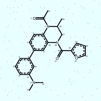 CC(=O)N1c2ccc(-c3cccc(N(C)C)c3)cc2N(C(=O)c2ccco2)CC1C